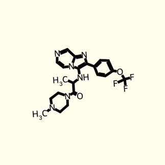 CC(Nc1c(-c2ccc(OC(F)(F)F)cc2)nc2cnccn12)C(=O)N1CCN(C)CC1